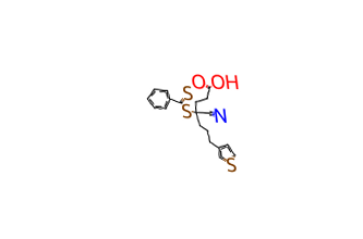 N#CC(CCCc1ccsc1)(CCC(=O)O)SC(=S)c1ccccc1